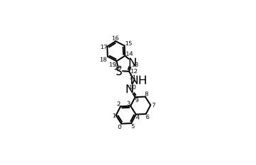 c1ccc2c(c1)CCC/C2=N\Nc1nc2ccccc2s1